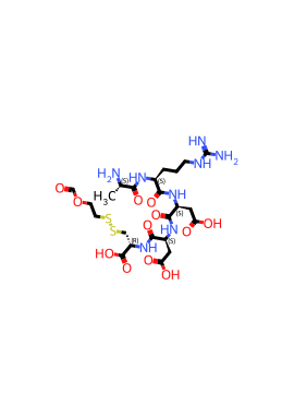 C[C@H](N)C(=O)N[C@@H](CCCNC(=N)N)C(=O)N[C@@H](CC(=O)O)C(=O)N[C@@H](CC(=O)O)C(=O)N[C@@H](CSSCCOC=O)C(=O)O